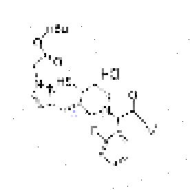 CCCCOC(=O)Cn1ccc(/C=C2/CN(C(C(=O)C3CC3)c3ccccc3F)CCC2S)n1.Cl